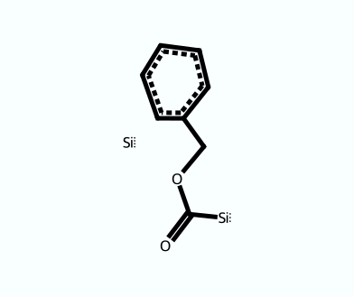 O=C([Si])OCc1ccccc1.[Si]